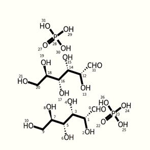 O=C[C@H](O)[C@@H](O)[C@H](O)[C@H](O)CO.O=C[C@H](O)[C@@H](O)[C@H](O)[C@H](O)CO.O=P(O)(O)O.O=P(O)(O)O